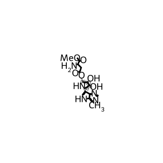 COC(=O)C(N)CC(=O)OC[C@H]1N[C@@H](c2c[nH]c3c(C)ncnc23)[C@H](O)[C@@H]1O